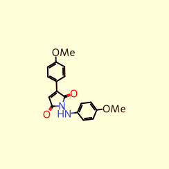 COc1ccc(NN2C(=O)C=C(c3ccc(OC)cc3)C2=O)cc1